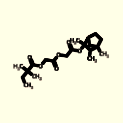 CCC(C)(C)C(=O)OCC(=O)OCC(=O)OC1(C)C2CCC(C)(C2)C1C